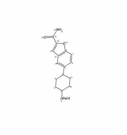 CCCCCC1CCC(c2ccc3oc(C(N)=O)cc3c2)CC1